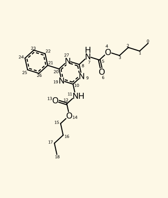 CCCCOC(=O)Nc1nc(NC(=O)OCCCC)nc(-c2ccccc2)n1